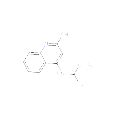 CCC(Nc1cc(C)nc2ccccc12)C(=O)O